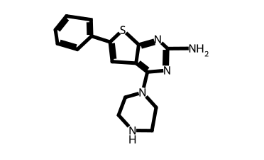 Nc1nc(N2CCNCC2)c2cc(-c3ccccc3)sc2n1